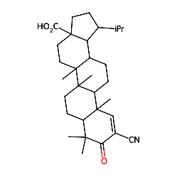 CC(C)C1CCC2(C(=O)O)CCC3(C)C(CCC4C5(C)C=C(C#N)C(=O)C(C)(C)C5CCC43C)C12